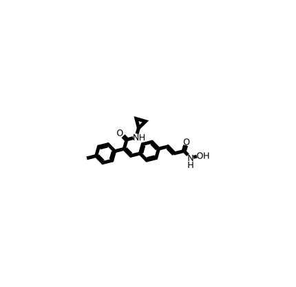 Cc1ccc(C(=Cc2ccc(/C=C/C(=O)NO)cc2)C(=O)NC2CC2)cc1